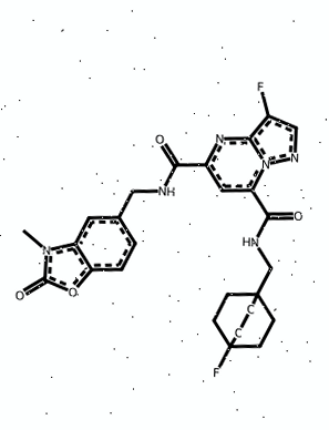 Cn1c(=O)oc2ccc(CNC(=O)c3cc(C(=O)NCC45CCC(F)(CC4)CC5)n4ncc(F)c4n3)cc21